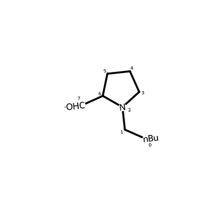 CCCCCN1CCCC1[C]=O